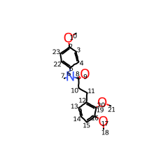 COc1ccc(N(C)C(=O)CCc2cccc(OC)c2OC)cc1